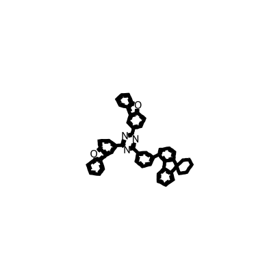 c1cc(-c2nc(-c3ccc4oc5ccccc5c4c3)nc(-c3ccc4oc5ccccc5c4c3)n2)cc(-c2cccc3c2-c2ccccc2C32CCCCC2)c1